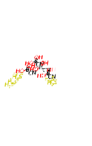 N#CB(O)O.N#CB(O)O.N#CB(O)O.N#CB(O)O.S.S.S.S.S.S.S.S